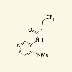 CNc1ccncc1NC(=O)CCC(F)(F)F